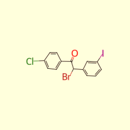 O=C(c1ccc(Cl)cc1)C(Br)c1cccc(I)c1